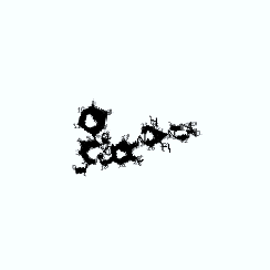 CC[C@H]1CC[C@@H](c2ccccc2)S(=O)(=O)N1Cc1cc(F)c(N2C[C@@H]3[C@H](C2)[C@H]3n2cnnc2)cc1F